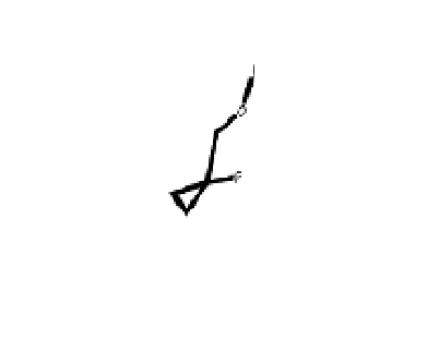 FC1(COI)CC1